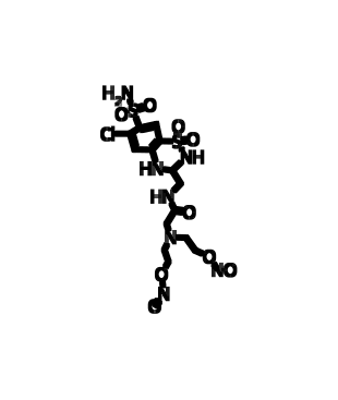 NS(=O)(=O)c1cc2c(cc1Cl)NC(CNC(=O)CN(CCON=O)CCON=O)NS2(=O)=O